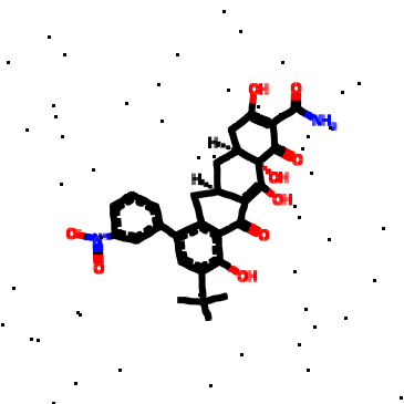 CC(C)(C)c1cc(-c2cccc([N+](=O)[O-])c2)c2c(c1O)C(=O)C1=C(O)[C@]3(O)C(=O)C(C(N)=O)=C(O)C[C@@H]3C[C@@H]1C2